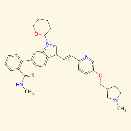 CNC(=S)c1ccccc1-c1ccc2c(/C=C/c3ccc(OCC4CCN(C)C4)cn3)cn(C3CCCCO3)c2c1